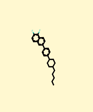 CCCCCC1CCC(c2ccc(-c3ccc4c(F)c(F)ccc4c3)cc2)CC1